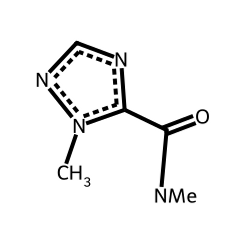 CNC(=O)c1ncnn1C